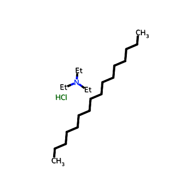 CCCCCCCCCCCCCCCC.CCN(CC)CC.Cl